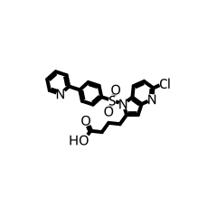 O=C(O)CCCc1cc2nc(Cl)ccc2n1S(=O)(=O)c1ccc(-c2ccccn2)cc1